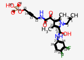 C#CCn1c(C)c(C(=O)C(=O)NCC#CCOS(=O)(=O)O)c(C)c1C(O)Nc1ccc(F)c(F)c1